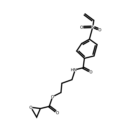 C=CS(=O)(=O)c1ccc(C(=O)NCCCOC(=O)C2CO2)cc1